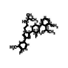 Cc1cc(-c2cn(CCNC(C)C)c(C3CCN(c4ncnc(N)c4C(C)C)CC3F)n2)ccc1F